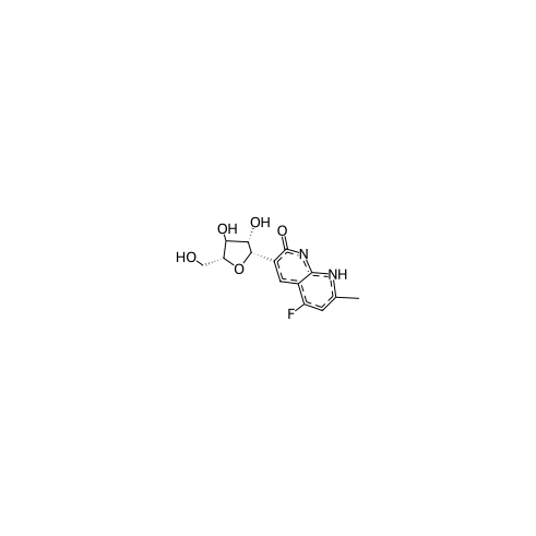 Cc1cc(F)c2cc([C@@H]3O[C@H](CO)C(O)[C@@H]3O)c(=O)nc-2[nH]1